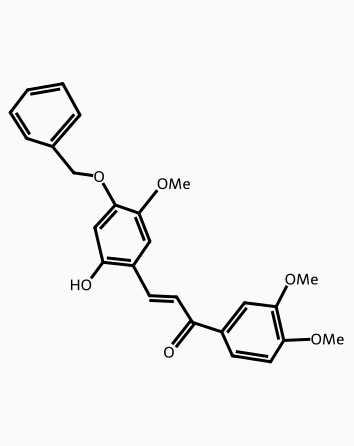 COc1ccc(C(=O)C=Cc2cc(OC)c(OCc3ccccc3)cc2O)cc1OC